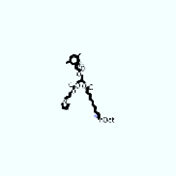 CCCCCCCC/C=C/CCCCCCCC(=O)OCC(COC(=O)CC1(CC)CC(C)CC[C@@H](C)C1)COC(=O)OCCCN1CCCC1